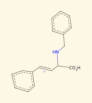 O=C(O)C(/C=C/c1ccccc1)NCc1ccccc1